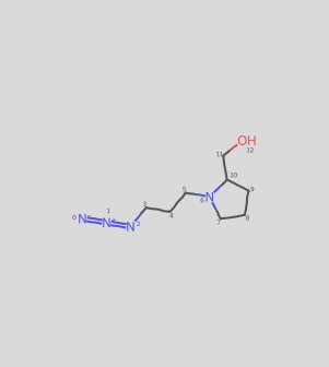 [N-]=[N+]=NCCCN1CCCC1CO